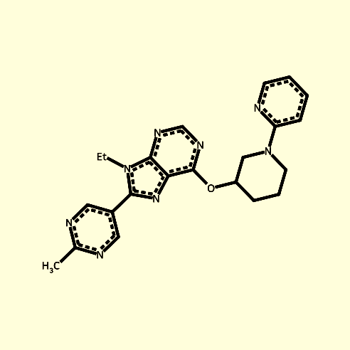 CCn1c(-c2cnc(C)nc2)nc2c(OC3CCCN(c4ccccn4)C3)ncnc21